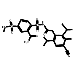 CNS(=O)(=O)c1ccc(S(=O)(=O)NC(=O)Cc2c(C(C)C)cc(C#N)c(F)c2C(C)C)c(C(N)=O)c1